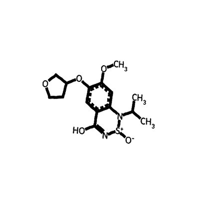 COc1cc2c(cc1OC1CCOC1)C(O)=N[S+]([O-])N2C(C)C